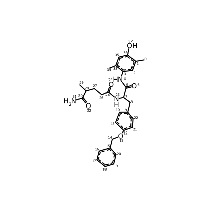 Cc1cc(NC(=O)C(Cc2ccc(OCc3ccccc3)cc2)NC(=O)[CH]CC(C)C(N)=O)c(C)cc1O